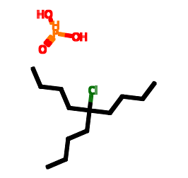 CCCCC(Cl)(CCCC)CCCC.O=[PH](O)O